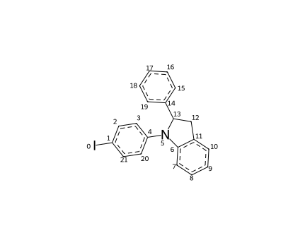 Ic1ccc(N2c3ccccc3CC2c2ccccc2)cc1